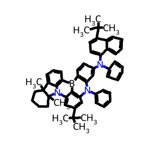 CC(C)(C)c1cc2c3c(c1)N1c4c(cccc4C4(C)CCCCC14C)B3c1ccc(N(c3ccccc3)c3ccc(C(C)(C)C)c4ccccc34)cc1N2c1ccccc1